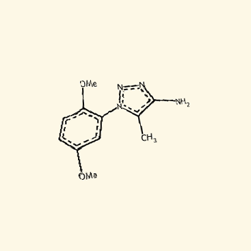 COc1ccc(OC)c(-n2nnc(N)c2C)c1